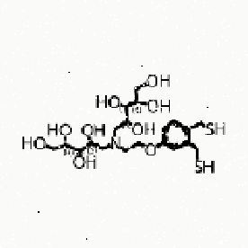 OC[C@@H](O)[C@H](O)[C@@H](O)CN(CCOc1ccc(CS)c(CS)c1)C[C@H](O)[C@@H](O)[C@H](O)CO